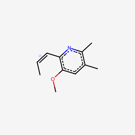 C/C=C\c1nc(C)c(C)cc1OC